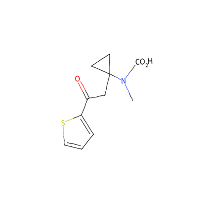 CN(C(=O)O)C1(CC(=O)c2cccs2)CC1